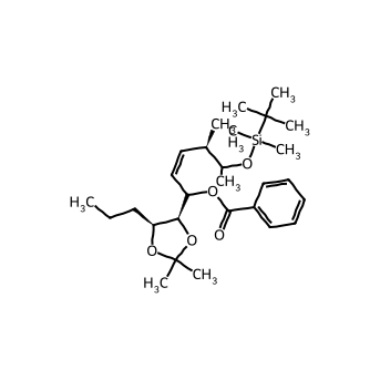 CCC[C@@H]1OC(C)(C)O[C@@H]1C(/C=C\[C@@H](C)C(C)O[Si](C)(C)C(C)(C)C)OC(=O)c1ccccc1